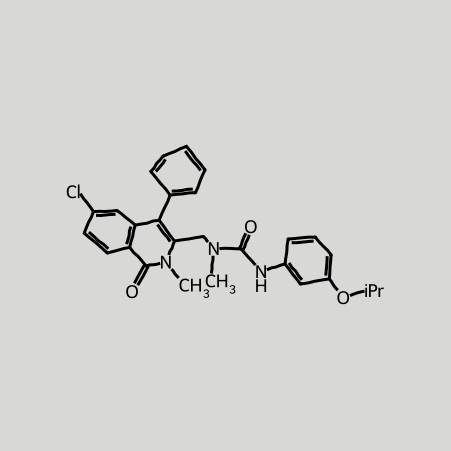 CC(C)Oc1cccc(NC(=O)N(C)Cc2c(-c3ccccc3)c3cc(Cl)ccc3c(=O)n2C)c1